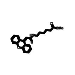 COC(=O)CCCCCNC(=O)C=C1c2ccccc2Oc2ccccc21